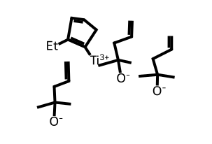 C=CCC(C)(C)[O-].C=CCC(C)(C)[O-].C=CCC(C)(C)[O-].CCC1=[C]([Ti+3])CC=C1